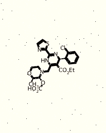 CCOC(=O)C1=C(CN2CCO[C@H](C)[C@@H]2OC(=O)O)NC(c2nccs2)=N[C@H]1c1ccccc1Cl